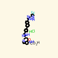 Cl.O=C(O)N[C@H]1CCc2ccn3c2C1C(=O)C[C@H](c1ncc(-c2ccc(-c4ccc5cc(-c6cnc([C@@H]7CC(F)(F)CN7)[nH]6)ccc5c4)cc2)[nH]1)C3